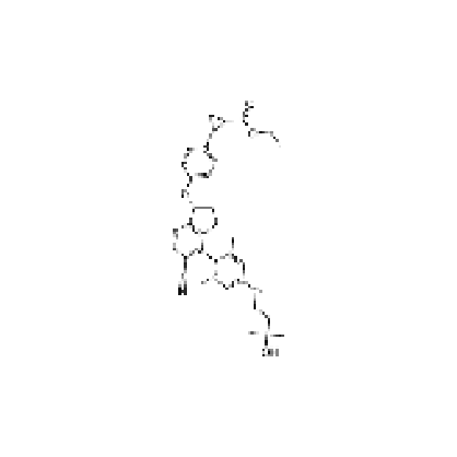 CCOC(=O)[C@H]1C[C@@H]1c1ccc(O[C@@H]2CCc3c2ccc(C#N)c3-c2c(C)cc(OCCC(C)(C)O)cc2C)cc1